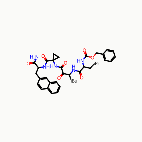 CCC(C)C(NC(=O)C(CC(C)C)NC(=O)OCc1ccccc1)C(=O)C(=O)NC1(C(=O)NC(Cc2ccc3ccccc3c2)C(N)=O)CC1